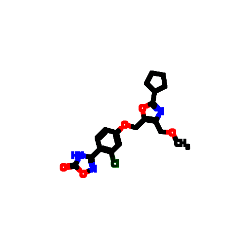 COCc1nc(C2CCCC2)oc1COc1ccc(-c2noc(=O)[nH]2)c(Cl)c1